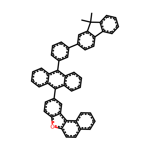 CC1(C)c2ccccc2-c2ccc(-c3cccc(-c4c5ccccc5c(-c5ccc6oc7ccc8ccccc8c7c6c5)c5ccccc45)c3)cc21